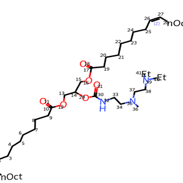 CCCCCCCC/C=C\CCCCCCCC(=O)OCC(COC(=O)CCCCCCC/C=C\CCCCCCCC)OC(=O)NCCN(C)CCN(CC)CC